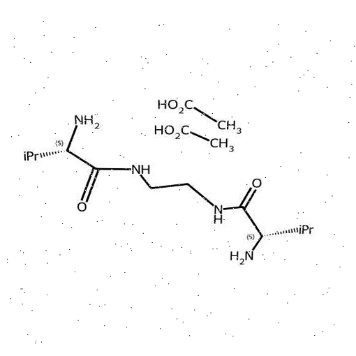 CC(=O)O.CC(=O)O.CC(C)[C@H](N)C(=O)NCCNC(=O)[C@@H](N)C(C)C